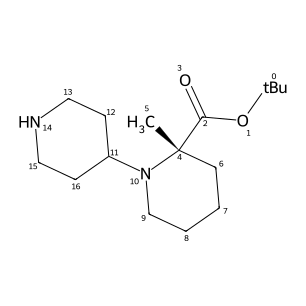 CC(C)(C)OC(=O)[C@]1(C)CCCCN1C1CCNCC1